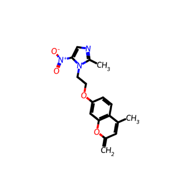 C=C1C=C(C)c2ccc(OCCn3c([N+](=O)[O-])cnc3C)cc2O1